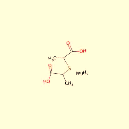 CC(SC(C)C(=O)O)C(=O)O.[MgH2]